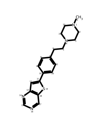 CN1CCN(CCc2ccc(-c3cc4ncn[c]c4s3)cc2)CC1